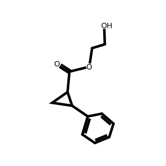 O=C(OCCO)C1CC1c1ccccc1